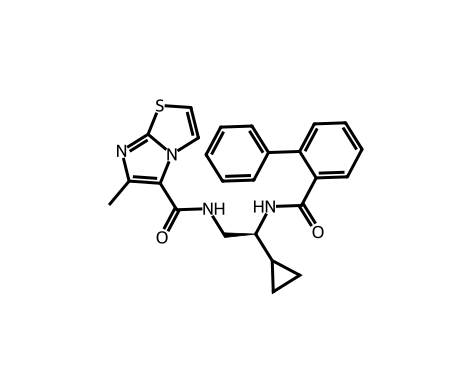 Cc1nc2sccn2c1C(=O)NC[C@@H](NC(=O)c1ccccc1-c1ccccc1)C1CC1